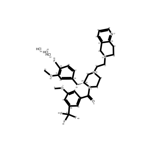 COc1cc(C(=O)N2CCN(CCN3CCc4ncccc4C3)C[C@H]2Cc2ccc(F)c(OC)c2)cc(C(F)(F)F)c1.Cl.Cl.Cl